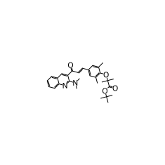 Cc1cc(C=CC(=O)c2cc3ccccc3nc2N(C)C)cc(C)c1OC(C)(C)C(=O)OC(C)(C)C